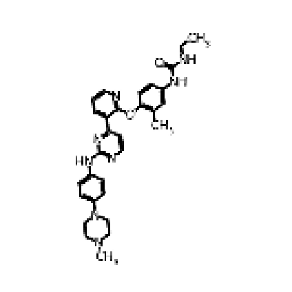 CCNC(=O)Nc1ccc(Oc2ncccc2-c2ccnc(Nc3ccc(N4CCN(C)CC4)cc3)n2)c(C)c1